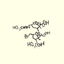 CC(C)CC(CC(C)C(C)(C)COO)C(C)(C)C.CC(C)CC(CC(C)C(C)(C)COO)C(C)(C)C.O=C(O)O.O=C(O)O